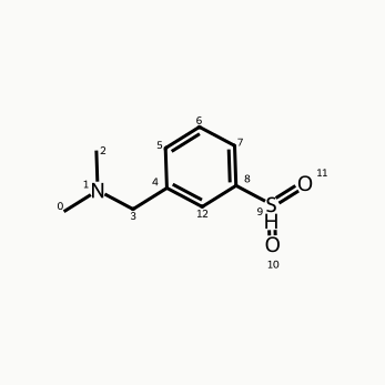 CN(C)Cc1cccc([SH](=O)=O)c1